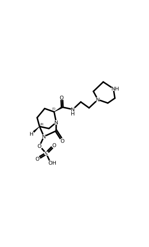 O=C(NCCN1CCNCC1)[C@@H]1CC[C@@H]2CN1C(=O)N2OS(=O)(=O)O